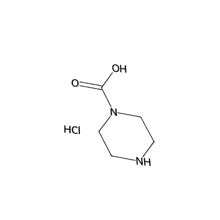 Cl.O=C(O)N1CCNCC1